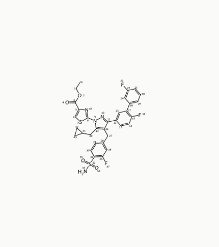 CCOC(=O)c1csc(-n2nc(-c3ccc(F)c(-c4cccc(F)c4)c3)c(Cc3ccc(S(N)(=O)=O)c(F)c3)c2CC2CC2)n1